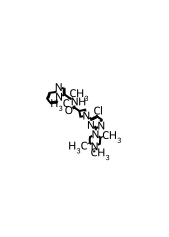 C[C@@H]1CN(c2ncc(Cl)c(N3CC(C(=O)NC(C)(C)c4cnc5ccccn45)C3)n2)[C@@H](C)CN1C